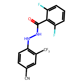 N#Cc1ccc(NNC(=O)c2c(F)cccc2F)c(C(F)(F)F)c1